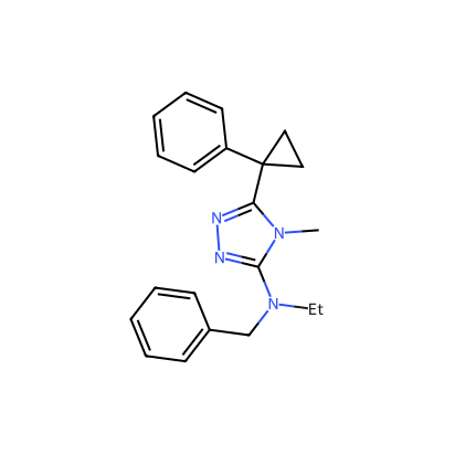 CCN(Cc1ccccc1)c1nnc(C2(c3ccccc3)CC2)n1C